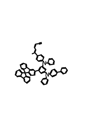 C#C/C=C\C=C(/C)c1ccc(N(c2ccccc2)c2cc(-c3ccc4c(c3)-c3ccccc3C43c4ccccc4-c4ccccc43)cc(N(c3ccccc3)c3ccc(-c4ccccc4)cc3)c2)cc1